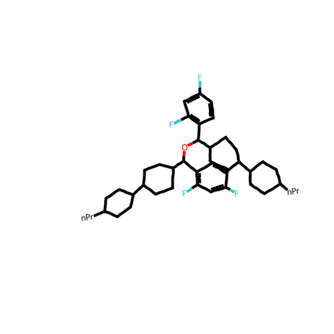 CCCC1CCC(C2CCC(C(OC(c3ccc(F)cc3F)C3CCC(C4CCC(CCC)CC4)CC3)c3ccc(F)cc3F)CC2)CC1